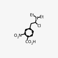 CCN(CC)C(Cl)Cc1ccc(C(=O)O)c([N+](=O)[O-])c1